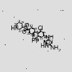 Nc1nc(Nc2cc(Cl)c(-c3ccc(S(=O)(=O)C4CCCNC4)cc3)c(C(F)(F)F)c2)n[nH]1